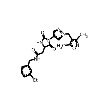 CCc1cccc(CNC(=O)CC2NC(=O)N(c3cnn(Cc4c(C)noc4C)c3)C2=O)c1